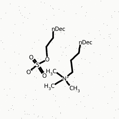 CCCCCCCCCCCCC[N+](C)(C)C.CCCCCCCCCCCCOS(=O)(=O)[O-]